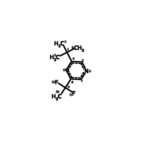 CC(C)(C)c1cncc(C(C)(F)F)c1